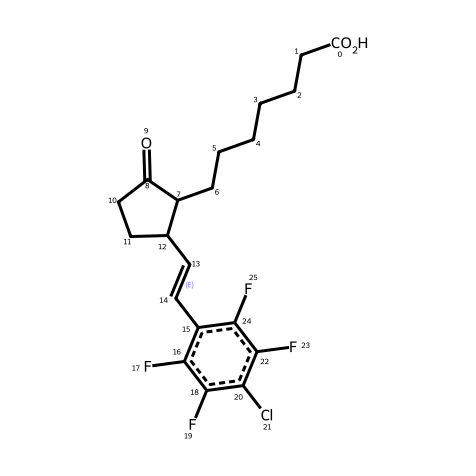 O=C(O)CCCCCCC1C(=O)CCC1/C=C/c1c(F)c(F)c(Cl)c(F)c1F